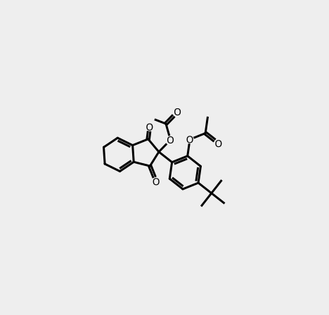 CC(=O)Oc1cc(C(C)(C)C)ccc1C1(OC(C)=O)C(=O)C2=CCCC=C2C1=O